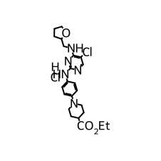 CCOC(=O)C1CCN(c2ccc(Nc3ncc(Cl)c(NCC4CCCO4)n3)cc2)CC1.Cl